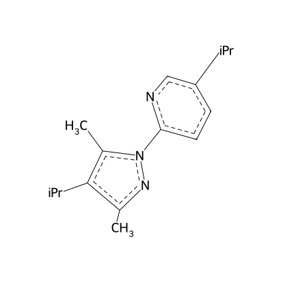 Cc1nn(-c2ccc(C(C)C)cn2)c(C)c1C(C)C